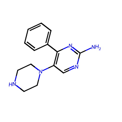 Nc1ncc(N2CCNCC2)c(-c2ccccc2)n1